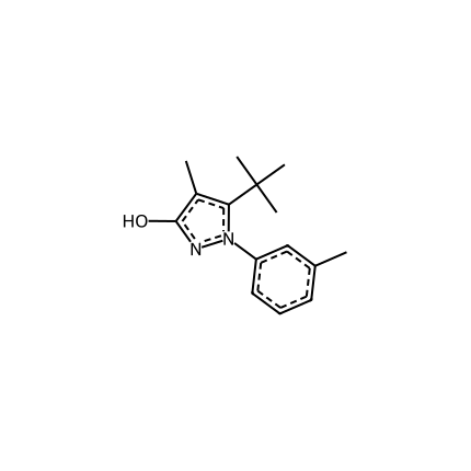 Cc1cccc(-n2nc(O)c(C)c2C(C)(C)C)c1